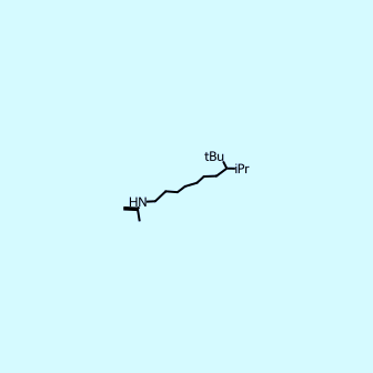 C=C(C)NCCCCCCCC(C(C)C)C(C)(C)C